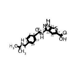 CC(C)NCc1ccc(C(=O)Nc2n[nH]c3sc(C(=O)O)cc23)cc1